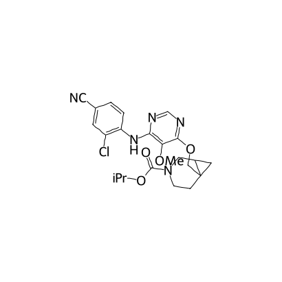 COc1c(Nc2ccc(C#N)cc2Cl)ncnc1OCC12CCN(C(=O)OC(C)C)CC1C2